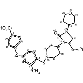 Cc1nc(Sc2ccc(C(=O)O)cc2)ccc1CN1CCC(N2C(=O)N(C3CCOCC3)CC2CC(C)C)CC1